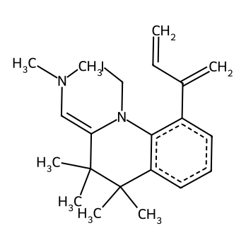 C=CC(=C)c1cccc2c1N(CI)/C(=C\N(C)C)C(C)(C)C2(C)C